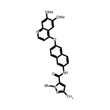 COc1cc2nccc(Oc3ccc4cc(NC(=O)c5cc(C)nn5C(C)(C)C)ccc4c3)c2cc1OC